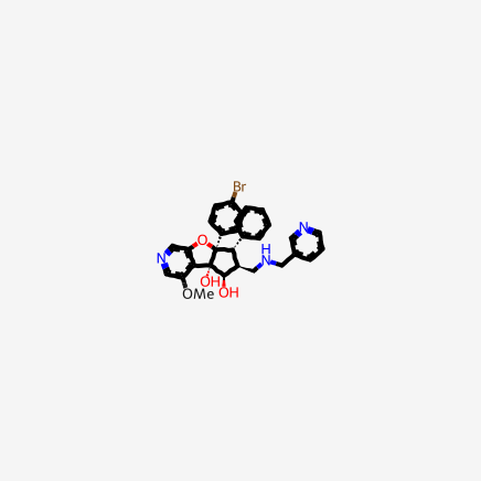 COc1cncc2c1[C@]1(O)[C@H](O)[C@H](CNCc3cccnc3)[C@@H](c3ccccc3)[C@]1(c1ccc(Br)cc1)O2